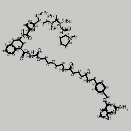 CCCO[C@H](C[C@H](C(C)C)N(CCC)C(=O)[C@@H](NC(=O)[C@H]1CCCCN1C)[C@@H](C)CC)c1nc(C(=O)NC2Cc3ccccc3[C@H](C(=O)NNC(=O)OCCOCCNC(=O)CCCC(=O)NCc3ccc(COc4nc(N)nc5[nH]cnc45)cc3)C2)cs1